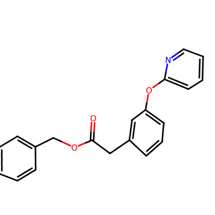 O=C(Cc1cccc(Oc2ccccn2)c1)OCc1ccccc1